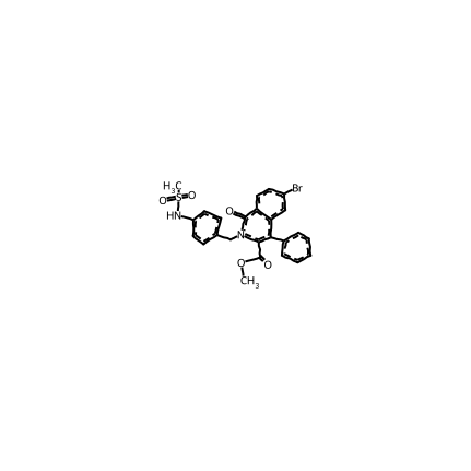 COC(=O)c1c(-c2ccccc2)c2cc(Br)ccc2c(=O)n1Cc1ccc(NS(C)(=O)=O)cc1